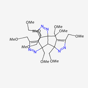 COCC1=C(COC)C(COC)(C(C2(COC)N=NC(COC)=C2COC)C2(COC)N=NC(COC)=C2COC)N=N1